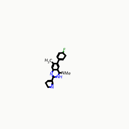 CNC1NC(C2=CCCN=C2)=NC2C=C(C)C(C3=CCC(F)C=C3)=CC21